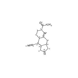 CC(=O)C1CCC2C(=N1)CC1CNCC1C2C#N